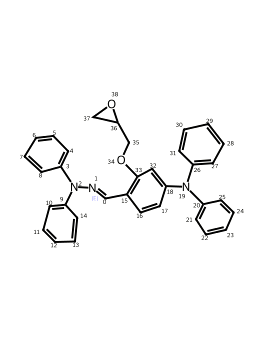 C(=N\N(c1ccccc1)c1ccccc1)/c1ccc(N(c2ccccc2)c2ccccc2)cc1OCC1CO1